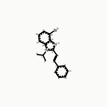 CC(C)n1c(/C=C/c2ccccc2)nc2c(Br)cccc21